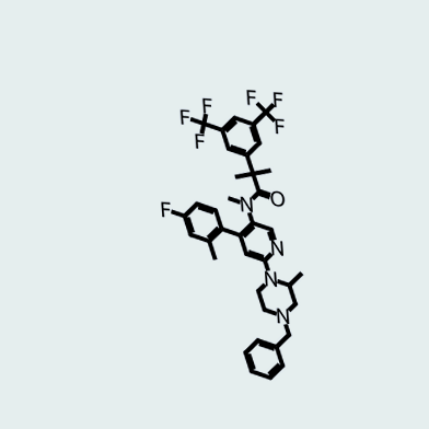 Cc1cc(F)ccc1-c1cc(N2CCN(Cc3ccccc3)CC2C)ncc1N(C)C(=O)C(C)(C)c1cc(C(F)(F)F)cc(C(F)(F)F)c1